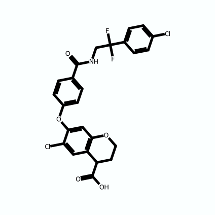 O=C(NCC(F)(F)c1ccc(Cl)cc1)c1ccc(Oc2cc3c(cc2Cl)C(C(=O)O)CCO3)cc1